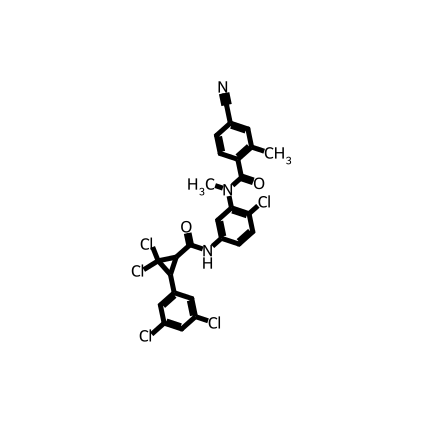 Cc1cc(C#N)ccc1C(=O)N(C)c1cc(NC(=O)C2C(c3cc(Cl)cc(Cl)c3)C2(Cl)Cl)ccc1Cl